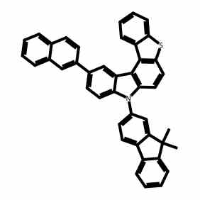 CC1(C)c2ccccc2-c2ccc(-n3c4ccc(-c5ccc6ccccc6c5)cc4c4c5c(ccc43)sc3ccccc35)cc21